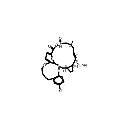 CO[C@H]1/C=C/C[C@H](C)C/[SH](=O)=N\C(=O)C2=CC=C3OCCCCc4cc(Cl)ccc4CN(C[C@@H]4CC[C@H]41)C3C2